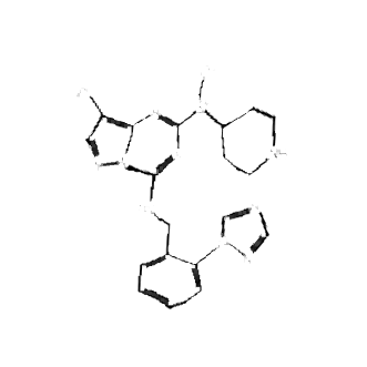 CC(C)c1cnn2c(NCc3ccccc3-n3cncn3)nc([S+]([O-])C3CCNCC3)nc12